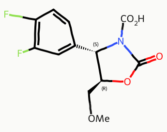 COC[C@@H]1OC(=O)N(C(=O)O)[C@H]1c1ccc(F)c(F)c1